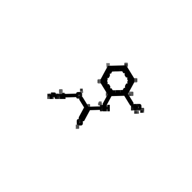 CCCCCOC(=O)Nc1ccccc1[N+](=O)[O-]